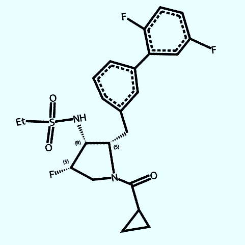 CCS(=O)(=O)N[C@H]1[C@@H](F)CN(C(=O)C2CC2)[C@H]1Cc1cccc(-c2cc(F)ccc2F)c1